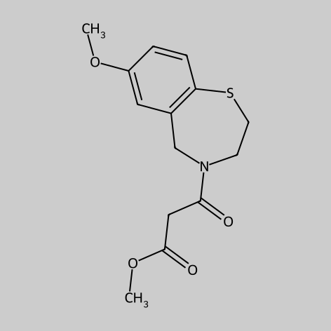 COC(=O)CC(=O)N1CCSc2ccc(OC)cc2C1